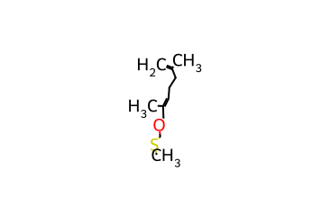 C=C(C)CC/C=C(\C)COCSC